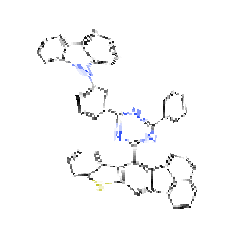 c1ccc(-c2nc(-c3cccc(-n4c5ccccc5c5ccccc54)c3)nc(-c3c4c(cc5sc6ccccc6c35)-c3cccc5cccc-4c35)n2)cc1